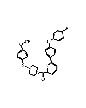 O=C(c1cccc(-c2ccc(Oc3ccc(F)cc3)cc2)n1)N1CCN(Sc2ccc(OC(F)(F)F)cc2)CC1